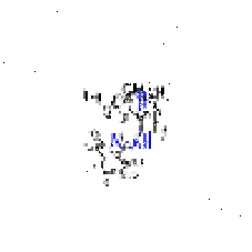 CC1(C)CC(Nc2nccc3ccccc23)CC(C)(C)N1